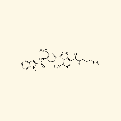 COc1cc(-c2csc3c(C(=O)NCCCN)cnc(N)c23)ccc1NC(=O)c1cc2ccccc2n1C